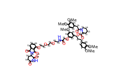 COc1ccc(CCC(OC(=O)[C@@H]2CCCCN2C(=O)Cc2cc(OC)c(OC)c(OC)c2)c2cccc(OCC(=O)NCCOCCOCCOc3cccc4c3C(=O)N(C3CCC(=O)NC3=O)C4=O)c2)cc1OC